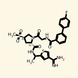 CC(NC(=O)[C@@H]1C[C@@H](S(C)(=O)=O)CN1C(=O)CNC(=O)c1cccc(-c2ccc(F)cc2)c1)c1cc(C(=N)N)cs1